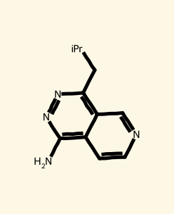 CC(C)Cc1nnc(N)c2ccncc12